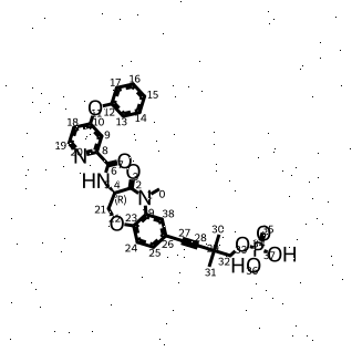 CN1C(=O)[C@H](NC(=O)c2cc(Oc3ccccc3)ccn2)COc2ccc(C#CC(C)(C)COP(=O)(O)O)cc21